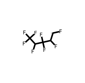 F[CH]C(F)C(F)(F)C(F)C(F)(F)F